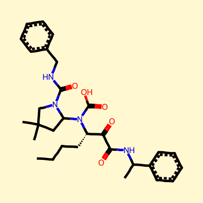 CCCC[C@@H](C(=O)C(=O)NC(C)c1ccccc1)N(C(=O)O)C1CC(C)(C)CN1C(=O)NCc1ccccc1